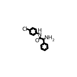 N[C@@H](C(=O)Nc1ccc(Cl)cc1)c1ccccc1